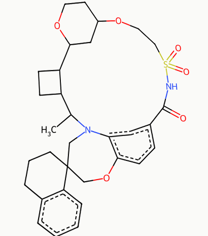 CC1C2CCC2C2CC(CCO2)OCCS(=O)(=O)NC(=O)c2ccc3c(c2)N1CC1(CCCc2ccccc21)CO3